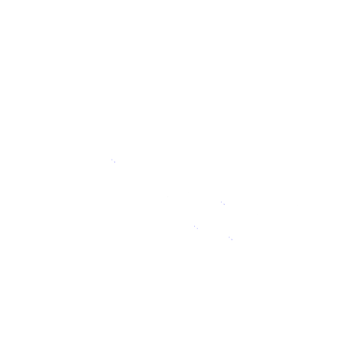 c1ccc(-c2nc(-c3ccccc3)nc(-c3cccc4c3sc3cccc(-n5c6ccccc6c6c(-c7ccccc7)cccc65)c34)n2)cc1